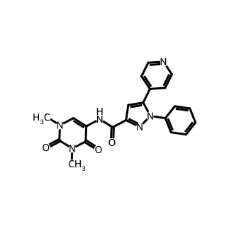 Cn1cc(NC(=O)c2cc(-c3ccncc3)n(-c3ccccc3)n2)c(=O)n(C)c1=O